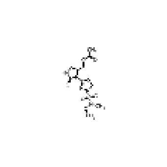 CON(C)S(=O)(=O)N1CSC(N2C(=O)NCC2COC(C)=O)=N1